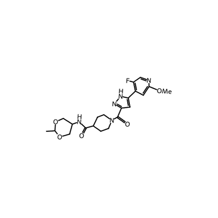 COc1cc(-c2cc(C(=O)N3CCC(C(=O)NC4COC(C)OC4)CC3)n[nH]2)c(F)cn1